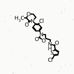 CC1OCCN(c2ccc(N3CC(CNC(=O)c4ccc(Cl)s4)OC3=O)cc2Cl)C1=O